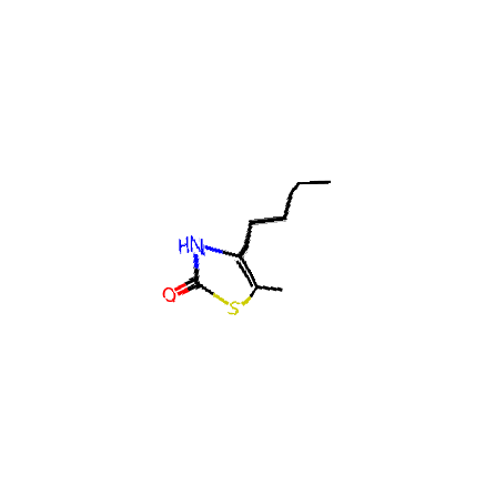 CCCCc1[nH]c(=O)sc1C